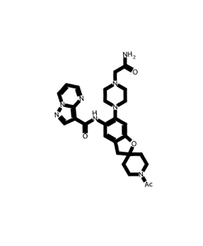 CC(=O)N1CCC2(CC1)Cc1cc(NC(=O)c3cnn4cccnc34)c(N3CCN(CC(N)=O)CC3)cc1O2